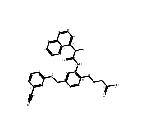 CC(C(=O)Nc1cc(COc2cccc(C#N)c2)ccc1CCCC(=O)O)c1cccc2ccccc12